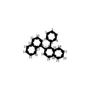 [c]1ccccc1-c1c(-c2cccc3ccccc23)ccc2ccccc12